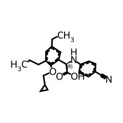 CCCc1cc(CC)cc([C@@H](Nc2ccc(C#N)cc2)C(=O)O)c1OCC1CC1